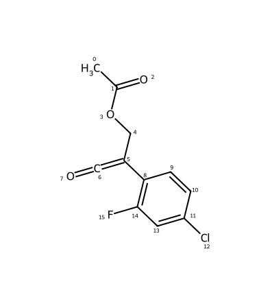 CC(=O)OCC(=C=O)c1ccc(Cl)cc1F